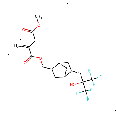 C=C(CC(=O)OC)C(=O)OCC1CC2CC1CC2CC(O)(C(F)(F)F)C(F)(F)F